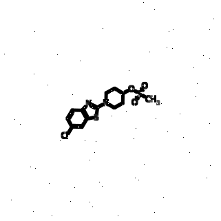 CS(=O)(=O)OC1CCN(c2nc3ccc(Cl)cc3s2)CC1